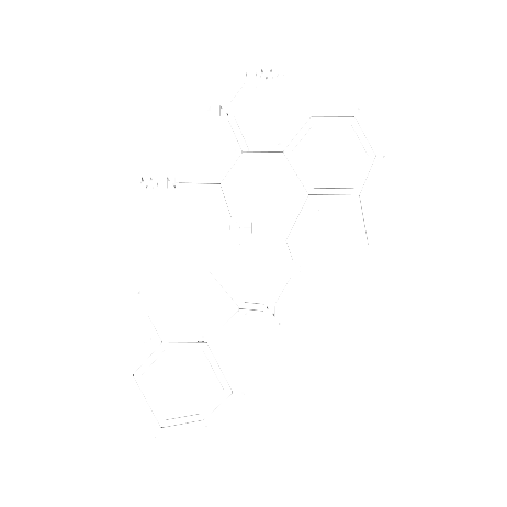 CNC(O)/C(=N/OC)c1cccc(C)c1CO/N=C(\C)c1ccccc1F